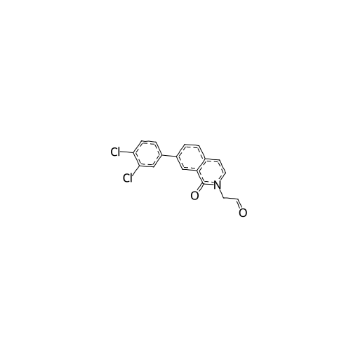 O=CCn1ccc2ccc(-c3ccc(Cl)c(Cl)c3)cc2c1=O